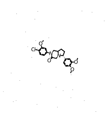 COc1cc(N2CC3CC[C@H](c4ccc(OC)c(OC)c4)N3CC2=O)ccc1Cl